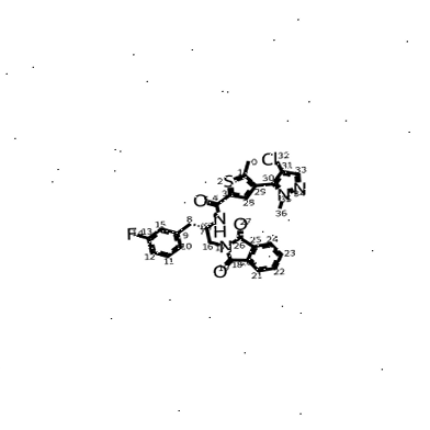 Cc1sc(C(=O)N[C@@H](Cc2cccc(F)c2)CN2C(=O)c3ccccc3C2=O)cc1-c1c(Cl)cnn1C